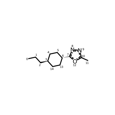 CCC[C@H]1CC[C@H](c2nnc(C)o2)CC1